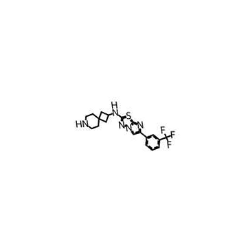 FC(F)(F)c1cccc(-c2cn3nc(NC4CC5(CCNCC5)C4)sc3n2)c1